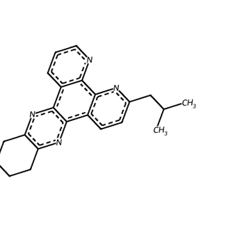 CC(C)Cc1ccc2c(n1)c1ncccc1c1nc3c(nc21)CCCC3